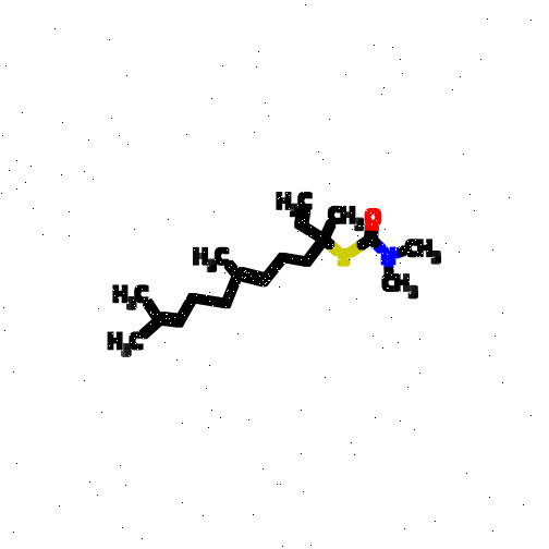 C=CC(C)(CC/C=C(\C)CCC=C(C)C)SC(=O)N(C)C